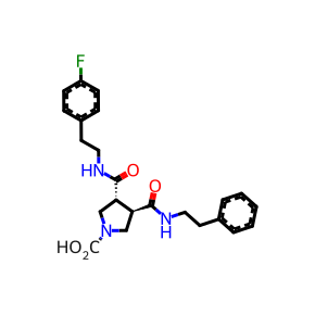 O=C(NCCc1ccccc1)[C@H]1CN(C(=O)O)C[C@@H]1C(=O)NCCc1ccc(F)cc1